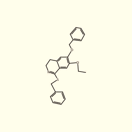 CCOc1cc2c(cc1OCc1ccccc1)CCN=C2SCc1ccccc1